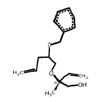 C=CCC(CO[C@](C)(C=C)CO)OCc1ccccc1